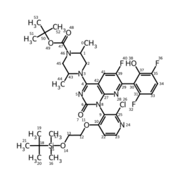 CC1CN(c2nc(=O)n(-c3c(OCCO[Si](C)(C)C(C)(C)C)ccnc3Cl)c3nc(-c4c(F)ccc(F)c4O)c(F)cc23)C(C)CN1C(=O)OC(C)(C)C